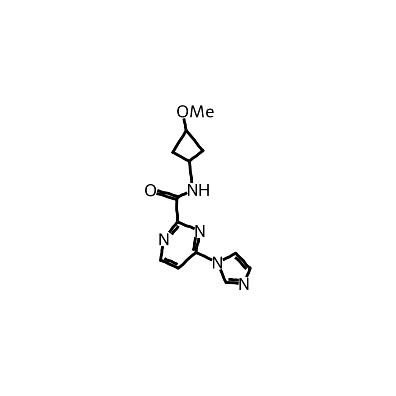 COC1CC(NC(=O)c2nccc(-n3ccnc3)n2)C1